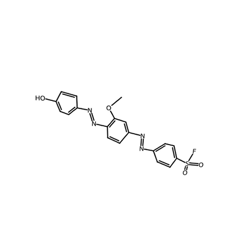 COc1cc(/N=N/c2ccc(S(=O)(=O)F)cc2)ccc1/N=N/c1ccc(O)cc1